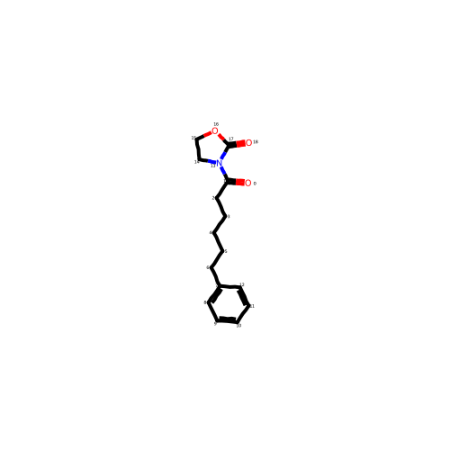 O=C(CCCCCc1ccccc1)N1CCOC1=O